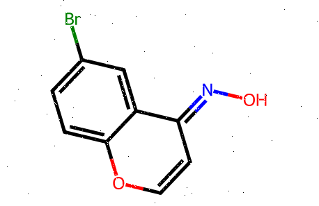 ON=c1ccoc2ccc(Br)cc12